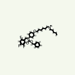 CCCCCN(C)CCCCCCOC1CCC(N(Cc2cc(F)c(F)cc2F)C(=O)OCc2ccccc2)CC1